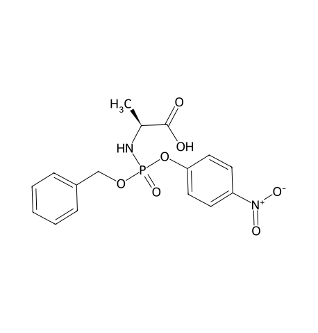 C[C@H](NP(=O)(OCc1ccccc1)Oc1ccc([N+](=O)[O-])cc1)C(=O)O